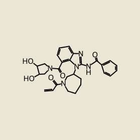 C=CC(=O)N1CCCCC(n2c(NC(=O)c3ccccc3)nc3cccc(C(=O)N4CC(O)C(O)C4)c32)C1